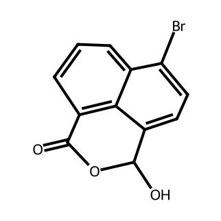 O=C1OC(O)c2ccc(Br)c3cccc1c23